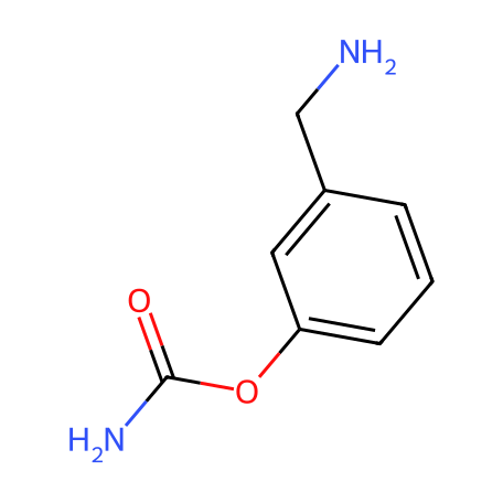 NCc1cccc(OC(N)=O)c1